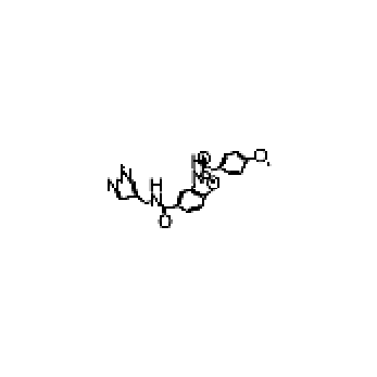 COc1ccc(S(=O)(=O)Nc2cc(C(=O)NCc3cnn(C)c3)ccc2C)cc1